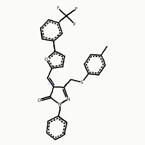 Cc1ccc(SCC2=NN(c3ccccc3)C(=O)/C2=C/c2ccc(-c3cccc(C(F)(F)F)c3)o2)cc1